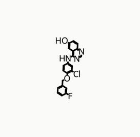 Oc1ccc2ncnc(Nc3ccc(OCc4cccc(F)c4)c(Cl)c3)c2c1